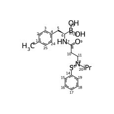 Cc1ccc(C[C@H](NC(=O)CCN(Sc2ccccc2)C(C)C)B(O)O)cc1